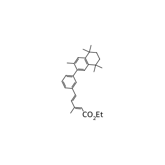 CCOC(=O)C=C(C)C=Cc1cccc(-c2cc3c(cc2C)C(C)(C)CCC3(C)C)c1